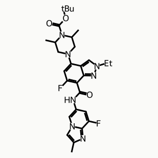 CCn1cc2c(N3CC(C)N(C(=O)OC(C)(C)C)C(C)C3)cc(F)c(C(=O)Nc3cc(F)c4nc(C)cn4c3)c2n1